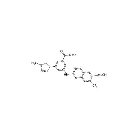 C#Cc1cc2cnc(Nc3cc(C(=O)NC)cc(C4C=NN(C)C4)c3)nc2cc1C(F)(F)F